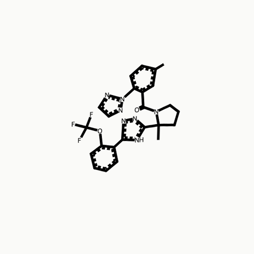 Cc1ccc(-n2nccn2)c(C(=O)N2CCCC2(C)c2nnc(-c3ccccc3OC(F)(F)F)[nH]2)c1